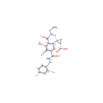 CCN1C[C@@]2(C[C@@H]2C(=O)O)n2cc(C(=O)NCc3ccc(F)cc3F)c(=O)c(O)c2C1=O